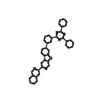 c1ccc(-c2nc(-c3ccccc3)nc(-c3cccc(-c4ccc5c(c4)oc4cnc(-c6cc7ccccc7cn6)cc45)c3)n2)cc1